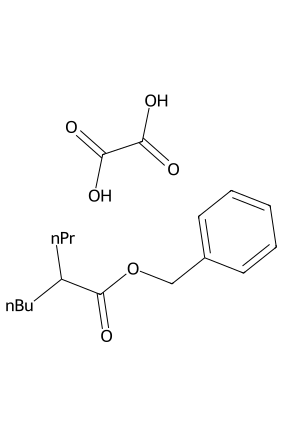 CCCCC(CCC)C(=O)OCc1ccccc1.O=C(O)C(=O)O